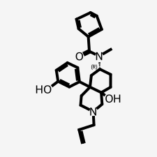 C=CCN1CCC2(c3cccc(O)c3)C[C@H](N(C)C(=O)c3ccccc3)CCC2(O)C1